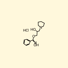 Cl.ON=C(OCC(O)CN1CCCCC1)c1ccccc1